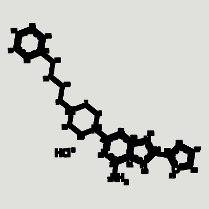 Cl.Nc1nc(N2CCN(CCCCc3ccccc3)CC2)cc2nc(-c3ccco3)nn12